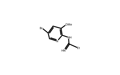 CCC(=N)Nc1ncc(Br)cc1OC